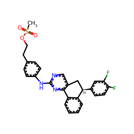 CS(=O)(=O)OCCc1ccc(Nc2ncc3c(n2)-c2ccccc2[C@H](c2ccc(F)c(F)c2)C3)cc1